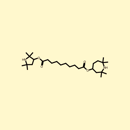 CC1(C)CCC(OC(=O)CCCCCCCCC(=O)OC2CC(C)(C)NC2(C)C)CC(C)(C)N1